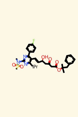 CC(C)c1nc(N(C)S(C)(=O)=O)nc(-c2ccc(F)cc2)c1/C=C/[C@@H](O)CC(=O)CC(=O)OC(C)(C)Cc1ccccc1